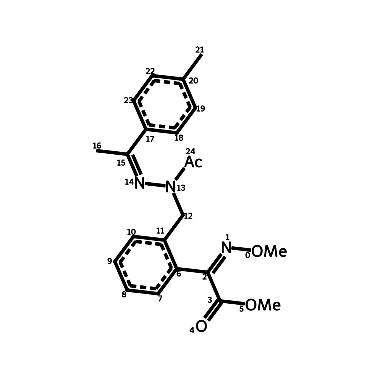 CON=C(C(=O)OC)c1ccccc1CN(N=C(C)c1ccc(C)cc1)C(C)=O